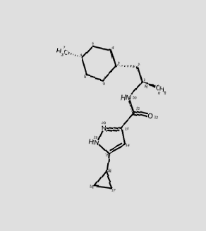 C[C@H](C[C@H]1CC[C@@H](C)CC1)NC(=O)c1cc(C2CC2)[nH]n1